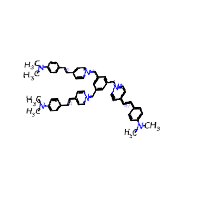 CN(C)c1ccc(/C=C/c2cc[n+](Cc3cc(C[n+]4ccc(/C=C/c5ccc(N(C)C)cc5)cc4)cc(C[n+]4ccc(/C=C/c5ccc(N(C)C)cc5)cc4)c3)cc2)cc1